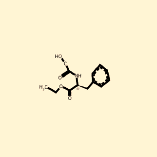 CCOC(=O)[C@H](Cc1ccccc1)NC(=O)CO